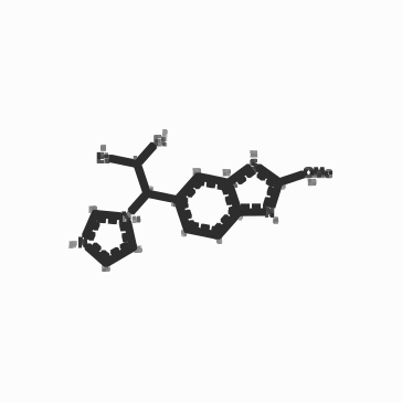 CCC(CC)C(c1ccc2nc(OC)sc2c1)n1ccnc1